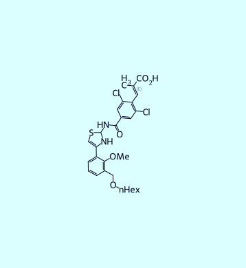 CCCCCCOCc1cccc(C2=CSC(NC(=O)c3cc(Cl)c(/C=C(\C)C(=O)O)c(Cl)c3)N2)c1OC